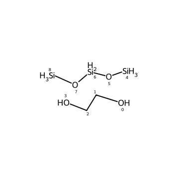 OCCO.[SiH3]O[SiH2]O[SiH3]